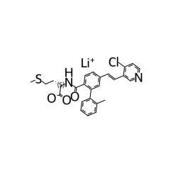 CSCC[C@H](NC(=O)c1ccc(C=Cc2cnccc2Cl)cc1-c1ccccc1C)C(=O)[O-].[Li+]